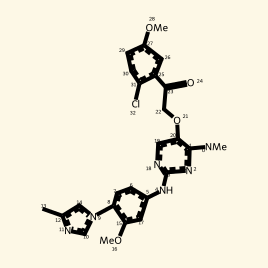 CNc1nc(Nc2ccc(-n3cnc(C)c3)c(OC)c2)ncc1OCC(=O)c1cc(OC)ccc1Cl